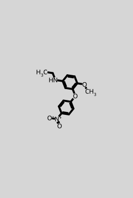 CCNc1ccc(OC)c(Oc2ccc([N+](=O)[O-])cc2)c1